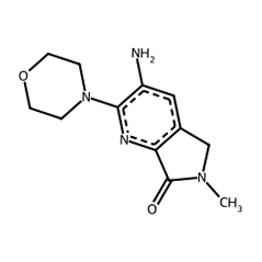 CN1Cc2cc(N)c(N3CCOCC3)nc2C1=O